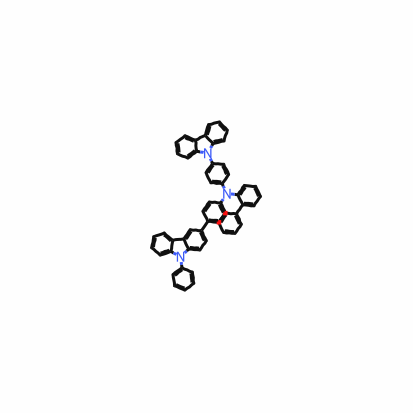 c1ccc(-c2ccccc2N(c2ccc(-c3ccc4c(c3)c3ccccc3n4-c3ccccc3)cc2)c2ccc(-n3c4ccccc4c4ccccc43)cc2)cc1